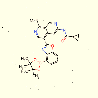 CNc1ncc(-c2nc3c(B4OC(C)(C)C(C)(C)O4)cccc3o2)c2cc(NC(=O)C3CC3)ncc12